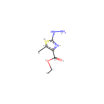 CCOC(=O)c1nc(NN)sc1C